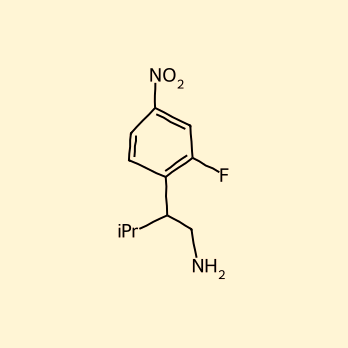 CC(C)C(CN)c1ccc([N+](=O)[O-])cc1F